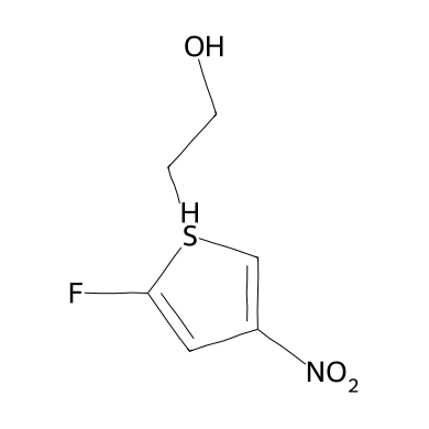 O=[N+]([O-])C1=C[SH](CCO)C(F)=C1